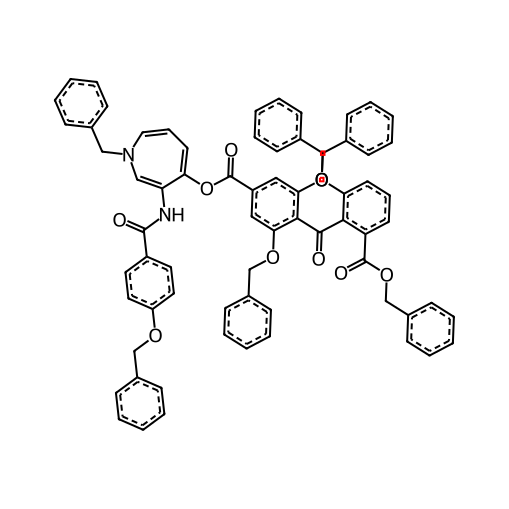 O=C(NC1=CN(Cc2ccccc2)C=CC=C1OC(=O)c1cc(OCc2ccccc2)c(C(=O)c2c(OCc3ccccc3)cccc2C(=O)OCc2ccccc2)c(OCc2ccccc2)c1)c1ccc(OCc2ccccc2)cc1